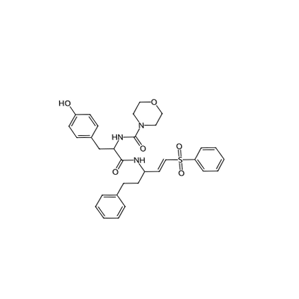 O=C(NC(C=CS(=O)(=O)c1ccccc1)CCc1ccccc1)C(Cc1ccc(O)cc1)NC(=O)N1CCOCC1